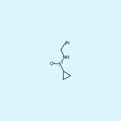 CC(C)CN[S+]([O-])C1CC1